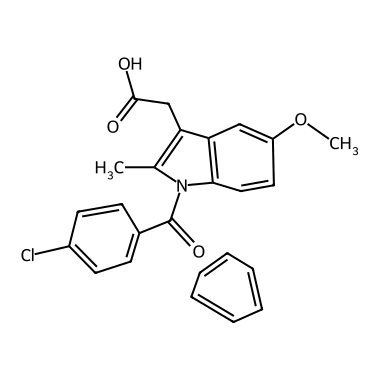 COc1ccc2c(c1)c(CC(=O)O)c(C)n2C(=O)c1ccc(Cl)cc1.c1ccccc1